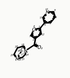 O=C(c1coc(-c2cccnc2)c1)N1CCN2CCC1CC2